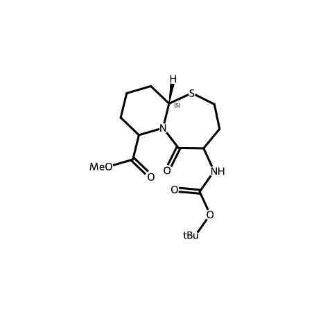 COC(=O)C1CCC[C@@H]2SCCC(NC(=O)OC(C)(C)C)C(=O)N12